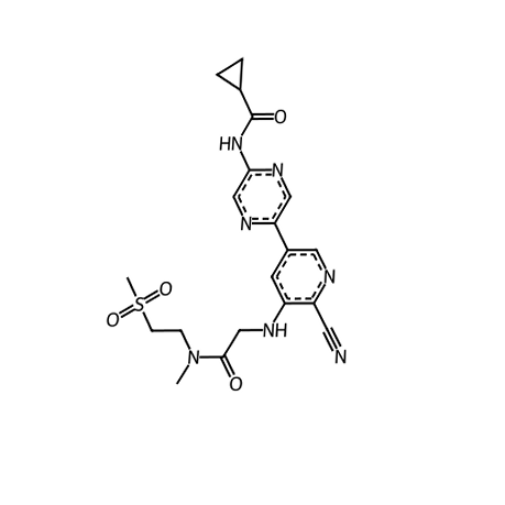 CN(CCS(C)(=O)=O)C(=O)CNc1cc(-c2cnc(NC(=O)C3CC3)cn2)cnc1C#N